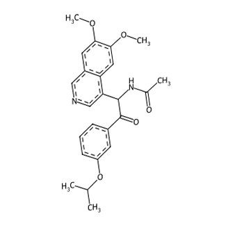 COc1cc2cncc(C(NC(C)=O)C(=O)c3cccc(OC(C)C)c3)c2cc1OC